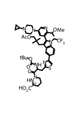 COC(C)c1ncc(N2CCN(C3CC3)CC2)cc1-c1c(CC(C)(C)COC(C)=O)c2cc(-c3csc(CC(NC(=O)OC(C)(C)C)C(=O)N4CCC[C@@H](C(=O)O)N4)n3)ccc2n1CC(F)(F)F